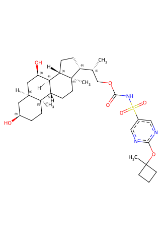 C[C@H](COC(=O)NS(=O)(=O)c1cnc(OC2(C)CCC2)nc1)[C@H]1CC[C@H]2[C@@H]3[C@H](O)C[C@@H]4C[C@H](O)CC[C@]4(C)[C@H]3CC[C@]12C